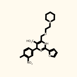 Cc1ccc(C2N=C(c3ccco3)NC(COCCN3CCCCC3)=C2C(=O)O)cc1[N+](=O)[O-]